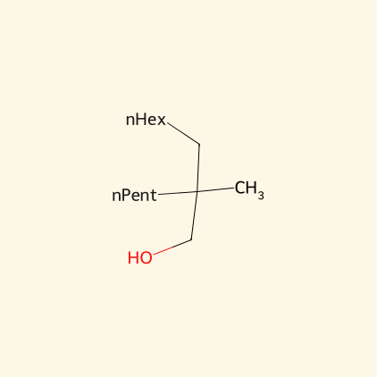 CCCCCCCC(C)(CO)CCCCC